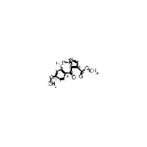 COC(=O)c1cnn(C)c1C(=O)c1ccc(OC)cc1